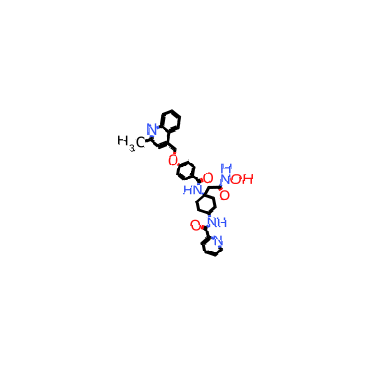 Cc1cc(COc2ccc(C(=O)NC3(CC(=O)NO)CCC(NC(=O)c4ccccn4)CC3)cc2)c2ccccc2n1